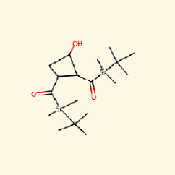 CC(C)(C)[Si](C)(C)C(=O)C1CC(O)C1C(=O)[Si](C)(C)C(C)(C)C